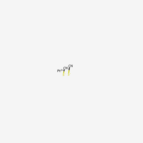 N#C[S-].N#C[S-].[Pt+2]